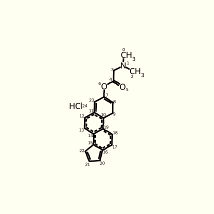 CN(C)CC(=O)OC1=CCc2c(ccc3c4c(ccc23)=CC=C4)=C1.Cl